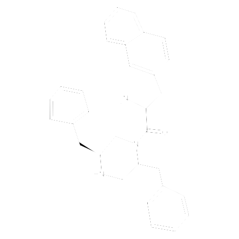 NC(Cc1ccc2ccccc2c1)C(=O)N1C[C@H](Cc2ccccc2)NCC1Cc1ccccc1